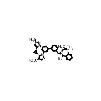 CC[C@@H]1c2ccccc2OC(C)(C)CN1Cc1cccc(-c2cccc(-n3ncc(C(=O)O)c3[C@@H]3C[C@H]3c3cn(C)nn3)c2)c1